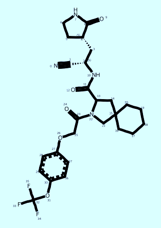 N#C[C@H](C[C@@H]1CCNC1=O)NC(=O)C1CC2(CCCCC2)CN1C(=O)COc1ccc(OC(F)(F)F)cc1